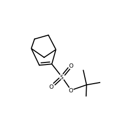 CC(C)(C)OS(=O)(=O)C1=CC2CCC1C2